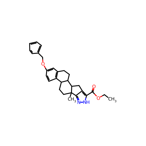 CCOC(=O)c1[nH]nc2c1CC1C3CCc4cc(OCc5ccccc5)ccc4C3CCC21C